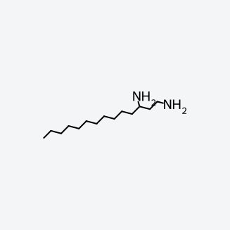 CCCCCCCCCCCC(N)CCN